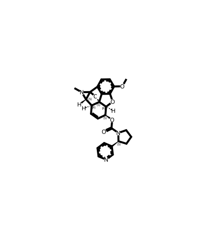 COc1ccc2c3c1O[C@H]1[C@@H](OC(=O)N4CCC[C@H]4c4cccnc4)C=C[C@H]4[C@@H]5N(C)C25C[C@@]341